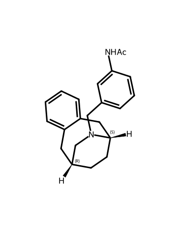 CC(=O)Nc1cccc(CN2C[C@@H]3CC[C@H]2Cc2ccccc2C3)c1